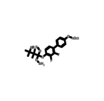 CCCCCCCCOc1ccc(-c2ccc(OC(O[SiH3])(O[SiH3])C(C)(C)C(C)(C)CC)c(F)c2F)cc1